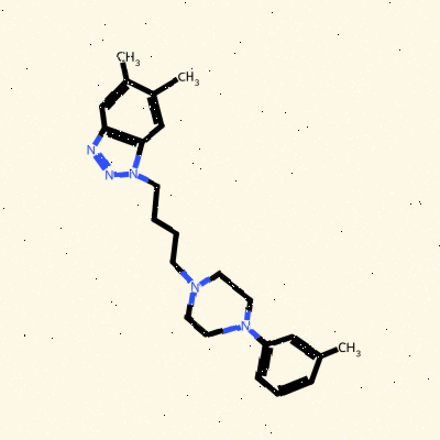 Cc1cccc(N2CCN(CCCCn3nnc4cc(C)c(C)cc43)CC2)c1